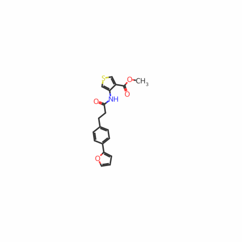 COC(=O)c1cscc1NC(=O)CCc1ccc(-c2ccco2)cc1